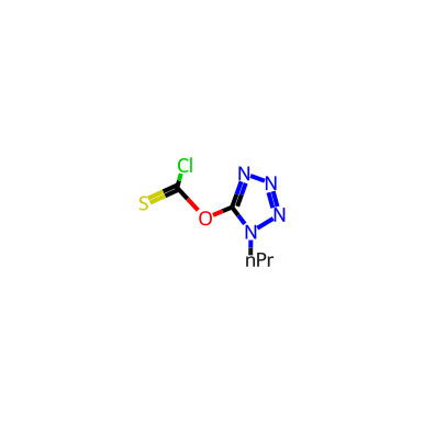 CCCn1nnnc1OC(=S)Cl